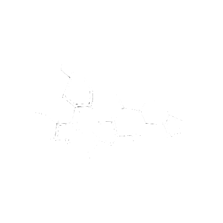 CN(Cc1ccco1)C(=O)c1cc(-c2nnc(O)n2-c2cccc(Cl)c2)c(O)cc1O